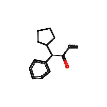 [CH2]OC(=O)C(c1ccccc1)C1CCCC1